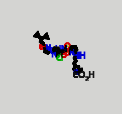 CC1(C)CC(CCCNc2cccc(S(=O)(=O)NC(=O)c3ccc(-n4ccc(OCCC(C5CC5)C5CC5)n4)nc3Cl)n2)CN1C(=O)O